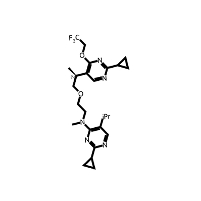 CC(C)c1cnc(C2CC2)nc1N(C)CCOC[C@@H](C)c1cnc(C2CC2)nc1OCC(F)(F)F